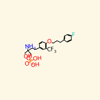 NC(CO)(CCc1ccc(OCCCc2ccc(F)cc2)c(C(F)(F)F)c1)COP(=O)(O)O